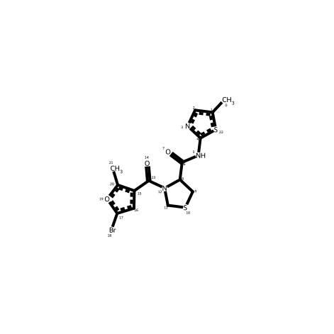 Cc1cnc(NC(=O)C2CSCN2C(=O)c2cc(Br)oc2C)s1